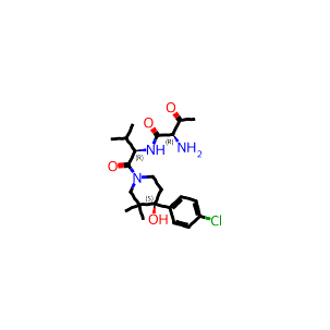 CC(=O)[C@@H](N)C(=O)N[C@@H](C(=O)N1CC[C@](O)(c2ccc(Cl)cc2)C(C)(C)C1)C(C)C